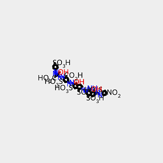 Nc1c(N=Nc2ccc3c(O)c(N=Nc4cc(C(=O)O)c(N=Nc5c(C(=O)O)nn(-c6ccc(S(=O)(=O)O)cc6)c5O)c(S(=O)(=O)O)c4)c(S(=O)(=O)O)cc3c2S(=O)(=O)O)cc(S(=O)(=O)O)c2ccc(N=Nc3ccc([N+](=O)[O-])cc3S(=O)(=O)O)c(O)c12